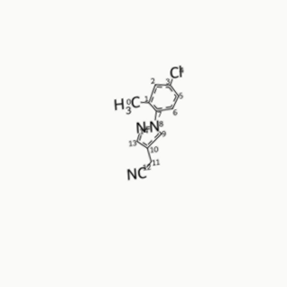 Cc1cc(Cl)ccc1-n1cc(CC#N)cn1